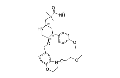 CNC(=O)C(C)(C)C[C@H]1C[C@H](c2ccc(OC)cc2)[C@@H](OCc2ccc3c(c2)N(CCCOC)CCO3)CN1